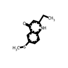 CCc1cc(=O)c2cc(SC)ccc2[nH]1